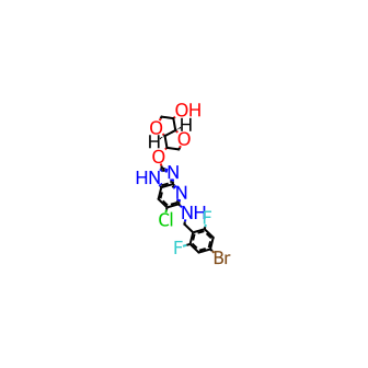 O[C@@H]1CO[C@H]2[C@@H]1OC[C@H]2Oc1nc2nc(NCc3c(F)cc(Br)cc3F)c(Cl)cc2[nH]1